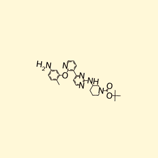 Cc1ccc(N)cc1Oc1ncccc1-c1ccnc(NC2CCCN(C(=O)OC(C)(C)C)C2)n1